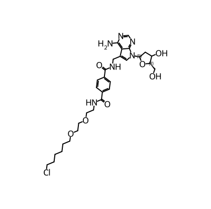 Nc1ncnc2c1c(CNC(=O)c1ccc(C(=O)NCCOCCOCCCCCCCl)cc1)cn2[C@H]1CC(O)[C@@H](CO)O1